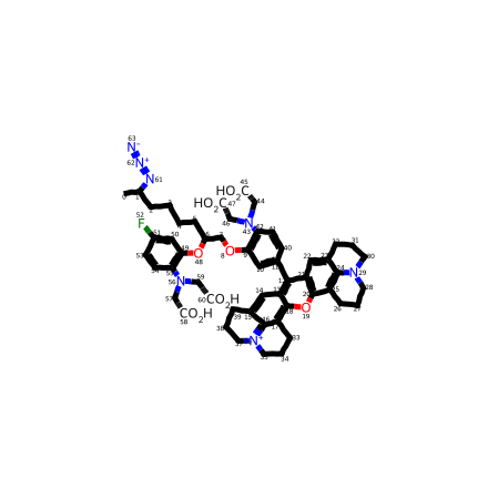 CC(CCCCC(COc1cc(C2=c3cc4c5c(c3Oc3c2cc2c6c3CCCN6CCC2)CCC[N+]=5CCC4)ccc1N(CC(=O)O)CC(=O)O)Oc1cc(F)ccc1N(CC(=O)O)CC(=O)O)N=[N+]=[N-]